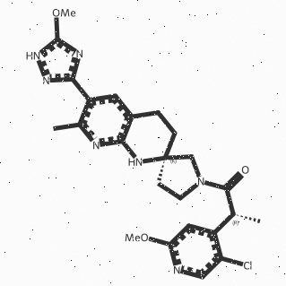 COc1cc([C@@H](C)C(=O)N2CC[C@]3(CCc4cc(-c5n[nH]c(OC)n5)c(C)nc4N3)C2)c(Cl)cn1